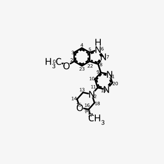 COc1ccc2[nH]nc(-c3cc(N4CCO[C@H](C)C4)ncn3)c2c1